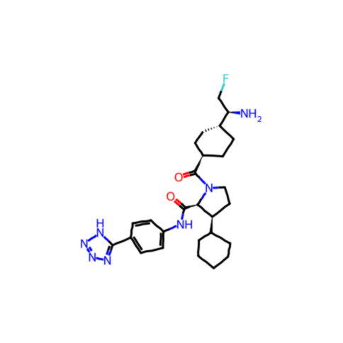 N[C@H](CF)[C@H]1CC[C@H](C(=O)N2CC[C@@H](C3CCCCC3)[C@H]2C(=O)Nc2ccc(-c3nnn[nH]3)cc2)CC1